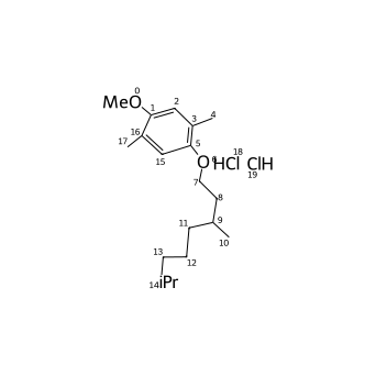 COc1cc(C)c(OCCC(C)CCCC(C)C)cc1C.Cl.Cl